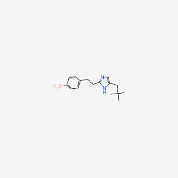 Bc1ccc(CCc2ncc(CC(C)(C)C)[nH]2)cc1